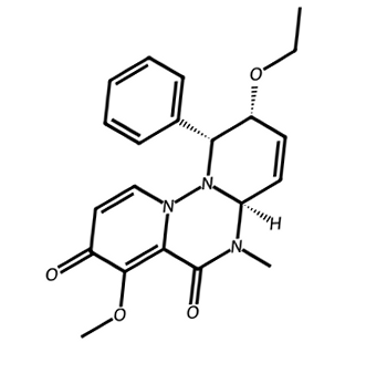 CCO[C@@H]1C=C[C@H]2N(C)C(=O)c3c(OC)c(=O)ccn3N2[C@@H]1c1ccccc1